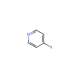 Ic1c[c]ncc1